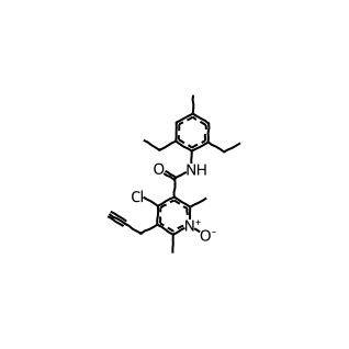 C#CCc1c(Cl)c(C(=O)Nc2c(CC)cc(C)cc2CC)c(C)[n+]([O-])c1C